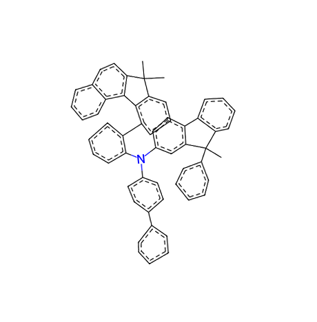 CC1(C)c2cccc(-c3ccccc3N(c3ccc(-c4ccccc4)cc3)c3ccc4c(c3)C(C)(c3ccccc3)c3ccccc3-4)c2-c2c1ccc1ccccc21